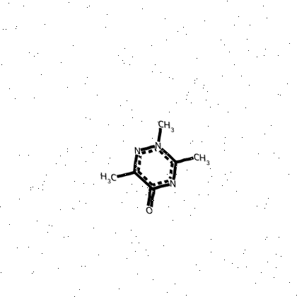 Cc1nn(C)c(C)nc1=O